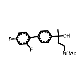 CC(=O)NCCC(C)(O)c1ccc(-c2ccc(F)cc2F)cc1